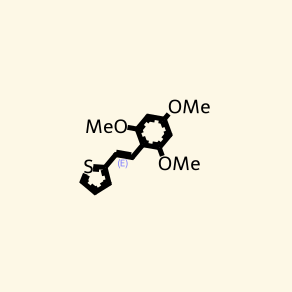 COc1cc(OC)c(/C=C/c2cccs2)c(OC)c1